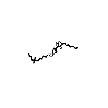 CCCCCCCc1nnc(-c2ccc(OCCCCCCC(C)(C)CCCC)cc2)s1